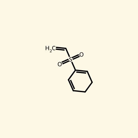 C=CS(=O)(=O)C1=CCCC=C1